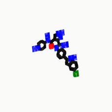 O=C(NC1CCNCC1)c1c[nH]nc1-c1nc2ccc(-c3cc4cc(Cl)ccc4[nH]3)cc2[nH]1